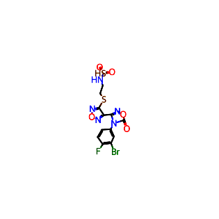 O=c1onc(-c2nonc2SCCN[SH](=O)=O)n1-c1ccc(F)c(Br)c1